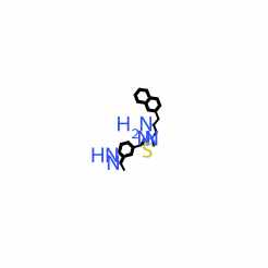 Cc1n[nH]c2ccc(C3=NN(CC(N)Cc4ccc5ccccc5c4)CS3)cc12